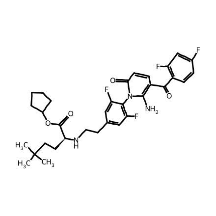 CC(C)(C)CC[C@H](NCCc1cc(F)c(-n2c(N)c(C(=O)c3ccc(F)cc3F)ccc2=O)c(F)c1)C(=O)OC1CCCC1